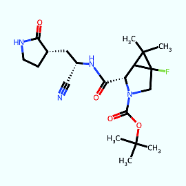 CC(C)(C)OC(=O)N1CC2(F)C([C@H]1C(=O)N[C@H](C#N)C[C@@H]1CCNC1=O)C2(C)C